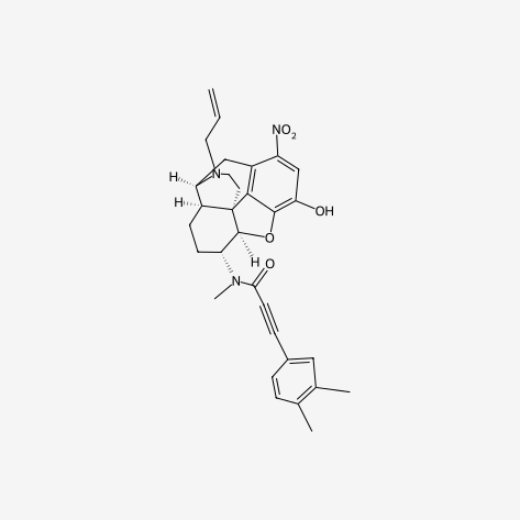 C=CCN1CC[C@]23c4c5c([N+](=O)[O-])cc(O)c4O[C@H]2[C@H](N(C)C(=O)C#Cc2ccc(C)c(C)c2)CC[C@H]3[C@H]1C5